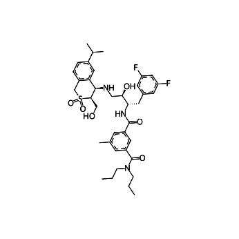 CCCN(CCC)C(=O)c1cc(C)cc(C(=O)N[C@@H](Cc2cc(F)cc(F)c2)[C@H](O)CN[C@@H]2c3cc(C(C)C)ccc3CS(=O)(=O)[C@@H]2CO)c1